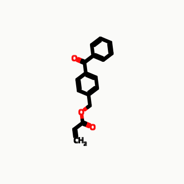 C=CC(=O)OCc1ccc(C(=O)c2ccccc2)cc1